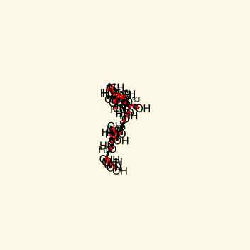 CCCC(=O)OCN(C(=O)[C@@H](NC(=O)[C@H]1CCCCCN1C)C(C)CC)[C@H](C[C@@H](OC(C)=O)c1nc(C(=O)N[C@@H](Cc2ccc(O)cc2)C[C@H](C)C(=O)NNC(=O)OCCSSCCNC(=O)[C@H](CC(=O)O)NC(=O)[C@H](CC(=O)O)NC(=O)Cc2ccc(CNC(=O)NCCCC[C@H](NC(=O)N[C@@H](CCC(=O)O)C(=O)O)C(=O)O)cc2)cs1)C(C)C